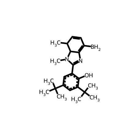 BC1=C2N=C(c3cc(C(C)(C)C)cc(C(C)(C)C)c3O)N(C)C2C(C)C=C1